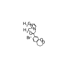 Cc1n(CC(=O)c2ccc3c(c2)OOCCC3)cc[n+]1C.[Br-]